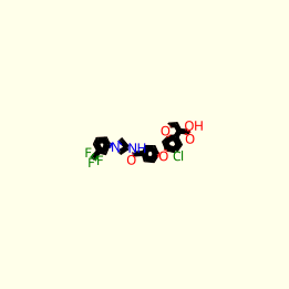 O=C(NC1CN(c2cccc(C(F)(F)F)c2)C1)c1ccc(Oc2cc3c(cc2Cl)C(C(=O)O)CCO3)cc1